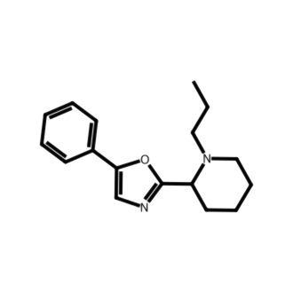 CCCN1CCCCC1c1ncc(-c2ccccc2)o1